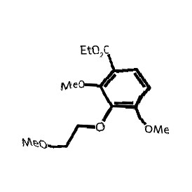 CCOC(=O)c1ccc(OC)c(OCCOC)c1OC